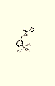 CC(C)(C)c1cccc(CNC(=O)C2CCC2)c1